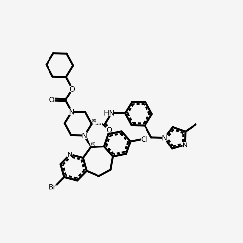 Cc1cn(Cc2cccc(NC(=O)[C@H]3CN(C(=O)OC4CCCCC4)CCN3[C@H]3c4ccc(Cl)cc4CCc4cc(Br)cnc43)c2)cn1